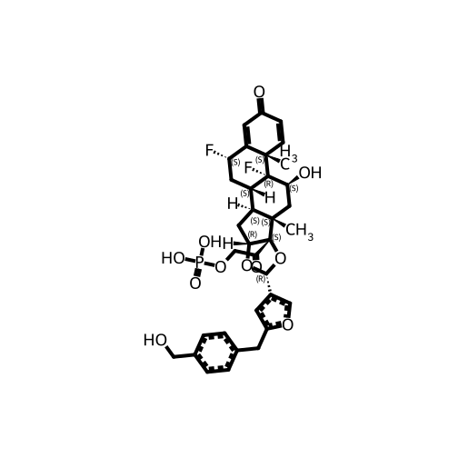 C[C@]12C=CC(=O)C=C1[C@@H](F)C[C@H]1[C@@H]3C[C@H]4O[C@@H](c5coc(Cc6ccc(CO)cc6)c5)O[C@@]4(C(=O)COP(=O)(O)O)[C@@]3(C)C[C@H](O)[C@@]12F